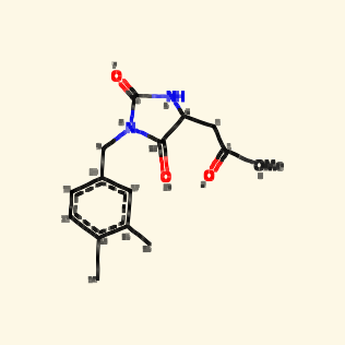 COC(=O)CC1NC(=O)N(Cc2ccc(C)c(C)c2)C1=O